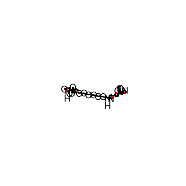 CC(C)(C)OC(=O)n1c(-c2ccc(-c3ccc(NCCOCCOCCOCCOCCOCCOc4ccc5c(c4)C(=O)N(C4CCC(=O)NC4=O)C5=O)nc3)cc2)cc2ccncc21